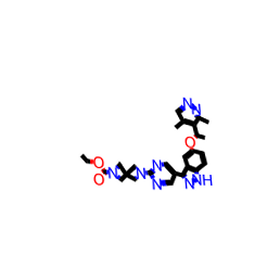 CCOC(=O)N1CC2(C1)CN(c1ncc(-c3n[nH]c4ccc(OC(C)c5c(C)cnnc5C)cc34)cn1)C2